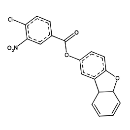 O=C(Oc1ccc2c(c1)C1C=CC=CC1O2)c1ccc(Cl)c([N+](=O)[O-])c1